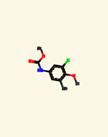 CCCc1cc(NC(=O)OC(C)C)cc(Cl)c1OCC